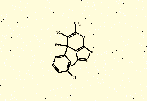 Cc1n[nH]c2c1C(c1cccc(Cl)c1)(C(C)C)C(C#N)=C(N)O2